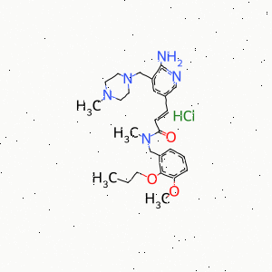 CCCOc1c(CN(C)C(=O)C=Cc2cnc(N)c(CN3CCN(C)CC3)c2)cccc1OC.Cl